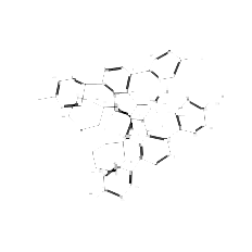 CC(C)(C)c1ccc(-c2ccc(-c3ccc(C(C)(C)C)cc3)c3c2C=C(CC2CCCCC2)[CH]3[Zr]([CH3])([CH3])(=[SiH2])[CH]2C(CC3CCCCC3)=Cc3c(-c4ccc(C(C)(C)C)cc4)ccc(-c4ccc(C(C)(C)C)cc4)c32)cc1